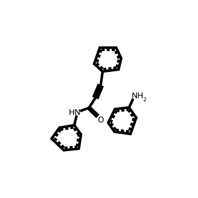 Nc1ccccc1.O=C(C#Cc1ccccc1)Nc1ccccc1